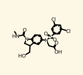 CNC(=O)N1CC(CO)c2cc(N(CC(=O)O)S(=O)(=O)c3cc(Cl)cc(Cl)c3)ccc21